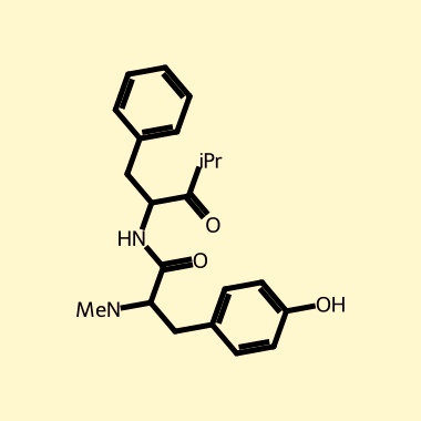 CNC(Cc1ccc(O)cc1)C(=O)NC(Cc1ccccc1)C(=O)C(C)C